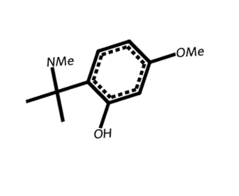 CNC(C)(C)c1ccc(OC)cc1O